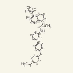 CCN1CCC(Cc2ccc(-c3cc(NC[C@@H](C)c4cccc5c(C(=O)NC)c(F)cnc45)ncn3)cn2)CC1